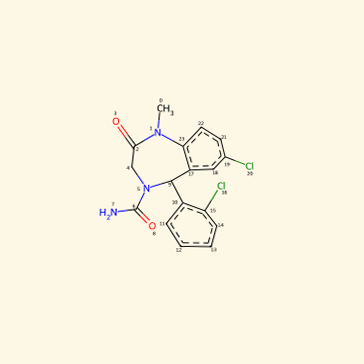 CN1C(=O)CN(C(N)=O)C(c2ccccc2Cl)c2cc(Cl)ccc21